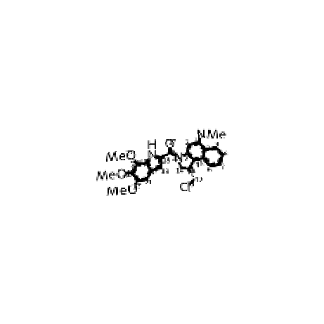 CNc1cc2c(c3ccccc13)[C@H](CCl)CN2C(=O)c1cc2cc(OC)c(OC)c(OC)c2[nH]1